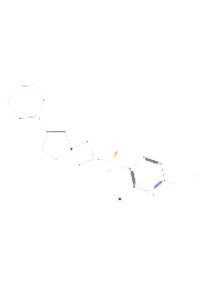 COc1ccc(S(=O)(=O)N2CC3(CCC(N4CCOCC4)C3)C2)c(C(F)(F)F)n1